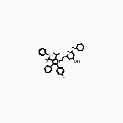 CC(C)c1c(C(=O)Nc2ccccc2)c(-c2ccccc2)c(-c2ccc(F)cc2)n1CC[C@@H]1CC(O)CC(OC2CCCCC2)O1